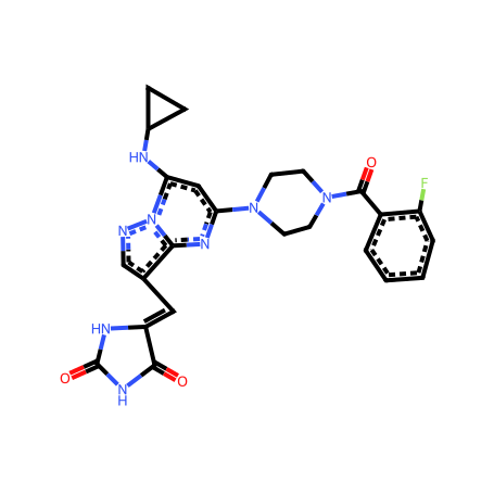 O=C1NC(=O)C(=Cc2cnn3c(NC4CC4)cc(N4CCN(C(=O)c5ccccc5F)CC4)nc23)N1